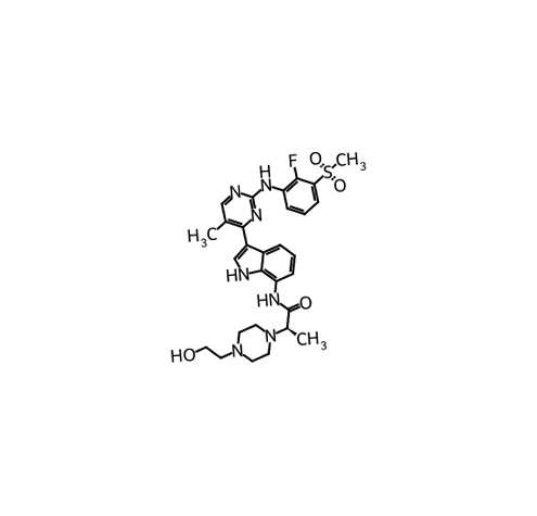 Cc1cnc(Nc2cccc(S(C)(=O)=O)c2F)nc1-c1c[nH]c2c(NC(=O)[C@@H](C)N3CCN(CCO)CC3)cccc12